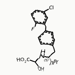 CCC[C@@H](Cc1ccc(-c2cc(Cl)ccc2F)cc1)NC(O)C(=O)O